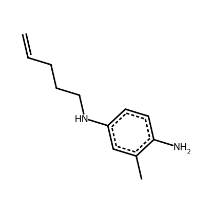 C=CCCCNc1ccc(N)c(C)c1